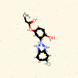 CCC(=O)Oc1ccc(O)c(-n2nc3ccc(Cl)cc3n2)c1